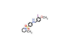 COc1ccc(CNc2ccc(S(=O)(=O)N3CCCC[C@@H]3C)cc2)cc1I